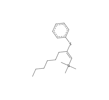 CCCCCC/C(=C\[Si](C)(C)C)Sc1ccccc1